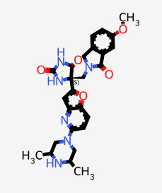 COc1ccc2c(c1)C(=O)N(C[C@@]1(c3cc4nc(N5CC(C)NC(C)C5)ccc4o3)NC(=O)NC1=O)C2